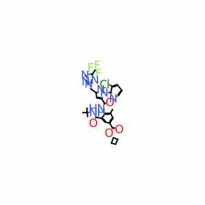 Cc1cc(C(=O)OC2CCC2)cc(C(=O)NC(C)(C)C)c1NC(=O)c1cc(Cn2nnc(C(F)(F)F)n2)nn1-c1ncccc1Cl